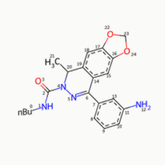 CCCCNC(=O)N1N=C(c2cccc(N)c2)c2cc3c(cc2C1C)OCO3